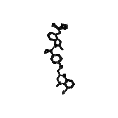 Cc1cc2c(CC(=O)O)cccc2n1C(=O)c1ccc(OCC2CN(C)c3c(F)cccc3O2)cc1